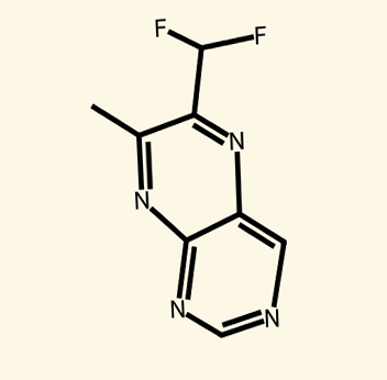 Cc1nc2ncncc2nc1C(F)F